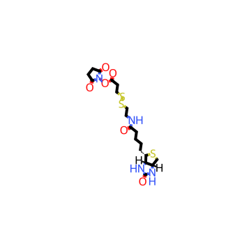 O=C(CCCC[C@@H]1SC[C@@H]2NC(=O)N[C@@H]21)NCCSSCCC(=O)ON1C(=O)CCC1=O